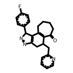 O=C1CCCCC2=C1C(Cc1ccccn1)CC1=C2C(c2ccc(F)cc2)N=N1